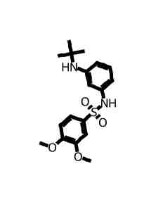 COc1ccc(S(=O)(=O)Nc2cccc(NC(C)(C)C)c2)cc1OC